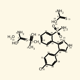 C.C#CC.NC(O)=S.NC(O)=S.NS(=O)(=O)c1ccccc1-c1n[nH]cc1-c1ccc(Cl)cc1.O